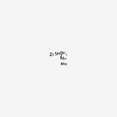 B.S.[Mn].[Mo].[Zn]